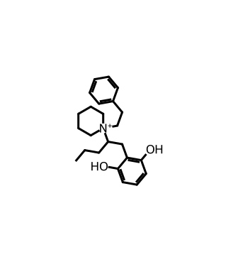 CCCC(Cc1c(O)cccc1O)[N+]1(CCc2ccccc2)CCCCC1